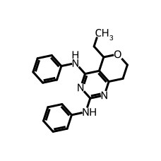 CCC1OCCc2nc(Nc3ccccc3)nc(Nc3ccccc3)c21